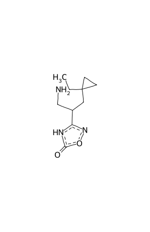 CCC1(CC(CN)c2noc(=O)[nH]2)CC1